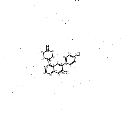 Clc1ccc(-c2cc3c(N4CCNCC4)ncnc3cc2Cl)cc1